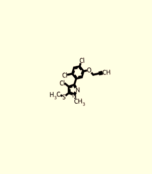 C#CCOc1cc(-c2nn(C)c(SC)c2Cl)c(Cl)cc1Cl